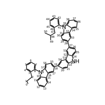 CCCc1ccccc1-n1c2ccccc2c2cc(-c3ccc4[nH]c5ccc(-c6ccc7c(c6)c6ccccc6n7-c6ccccc6CC(C)C)cc5c4c3)ccc21